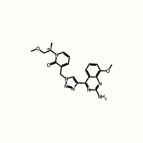 COC[C@@H](C)n1cccc(Cn2cc(-c3nc(N)nc4c(OC)cccc34)nn2)c1=O